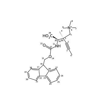 CC#C[C@](C)(C[N+](C)(C)C)[C@@H](NC(=O)OCC1c2ccccc2-c2ccccc21)C(=O)O